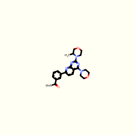 CNC(=O)c1cccc(-c2ccc3c(N4CCOCC4)nc(N4CCOCC4C)nc3n2)c1